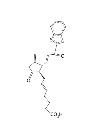 C=C1CC(=O)[C@H](CC=CCCCC(=O)O)[C@H]1C=CC(=O)c1cc2ccccc2s1